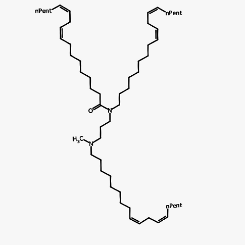 CCCCC/C=C\C/C=C\CCCCCCCCN(C)CCCN(CCCCCCCC/C=C\C/C=C\CCCCC)C(=O)CCCCCCC/C=C\C/C=C\CCCCC